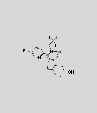 C[C@@H]1Cc2c(ccc(N)c2CCO)[C@@H](c2ccc(Br)cn2)N1CC(F)(F)F